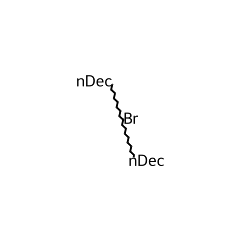 CCCCCCCCCCCCCCCCCCC(Br)CCCCCCCCCCCCCCCCCC